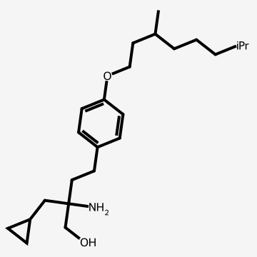 CC(C)CCCC(C)CCOc1ccc(CCC(N)(CO)CC2CC2)cc1